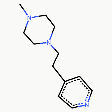 CN1CCN(CCc2ccncc2)CC1